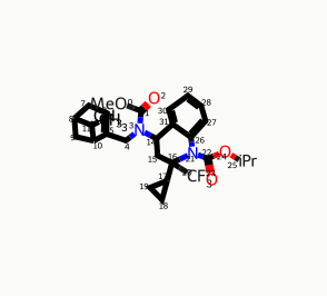 COC(=O)N(CC1=CCC2CC1C2(C)C)C1CC(C2CC2)(C(F)(F)F)N(C(=O)OC(C)C)c2ccccc21